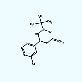 C=CC[C@H](N[S+]([O-])C(C)(C)C)c1cc(Cl)nnn1